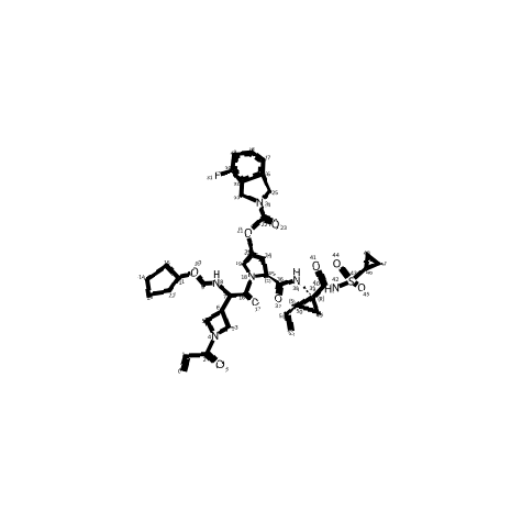 C=CC(=O)N1CC(C(NCOC2CCCC2)C(=O)N2CC(OC(=O)N3Cc4cccc(F)c4C3)C[C@H]2C(=O)N[C@]2(C(=O)NS(=O)(=O)C3CC3)C[C@H]2C=C)C1